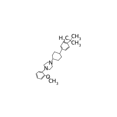 COc1ccccc1N1CCN(C2CCC(c3ccc(C(C)(C)C)cc3)CC2)CC1